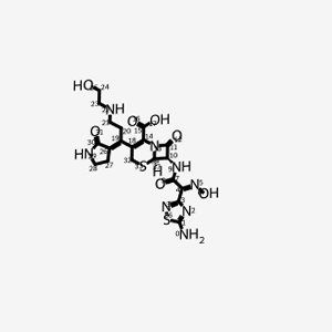 Nc1nc(C(=NO)C(=O)N[C@@H]2C(=O)N3C(C(=O)O)=C(C(CCNCCO)=C4CCNC4=O)CS[C@H]23)ns1